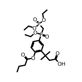 CCCC(=O)Oc1ccc(P(=O)(CP(=O)(OCC)OCC)OCC)cc1C(C)(C)CC(=O)O